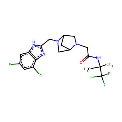 CC(C)(NC(=O)CN1CC2CC1CN2Cc1nc2c(Cl)cc(F)cc2[nH]1)C(F)(F)F